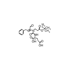 CC(C)(C)OC(=O)CC[C@@H](C(=O)N[C@@H](CCC(=O)O)C(=O)O)N(C=O)OCc1ccccc1